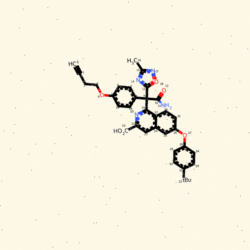 C#CCCOc1ccc(C(C(N)=O)(c2nc(C)no2)c2nc(C(=O)O)cc3cc(Oc4ccc(C(C)(C)C)cc4)ccc23)cc1